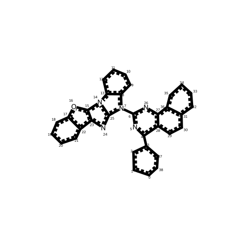 c1ccc(-c2nc(-n3c4ccccc4n4c5oc6ccccc6c5nc34)nc3c2ccc2ccccc23)cc1